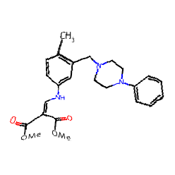 COC(=O)C(=CNc1ccc(C)c(CN2CCN(c3ccccc3)CC2)c1)C(=O)OC